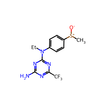 CCN(c1ccc([S+](C)[O-])cc1)c1nc(N)nc(C(F)(F)F)n1